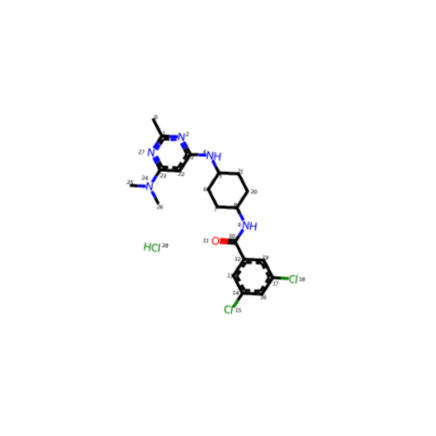 Cc1nc(NC2CCC(NC(=O)c3cc(Cl)cc(Cl)c3)CC2)cc(N(C)C)n1.Cl